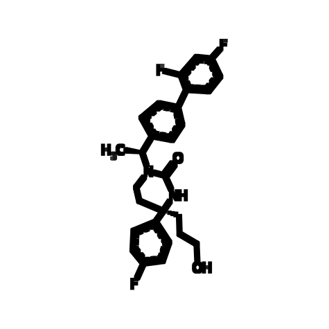 C[C@@H](c1ccc(-c2ccc(F)cc2F)cc1)N1CC[C@](CCCO)(c2ccc(F)cc2)NC1=O